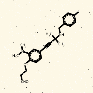 CN(C)c1cc(C#CC(C)(C)NCc2ccc(F)cc2)ccc1OCCC=O